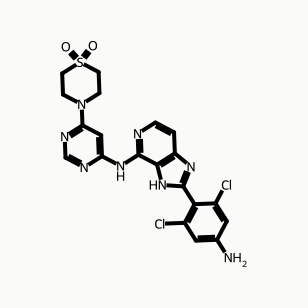 Nc1cc(Cl)c(-c2nc3ccnc(Nc4cc(N5CCS(=O)(=O)CC5)ncn4)c3[nH]2)c(Cl)c1